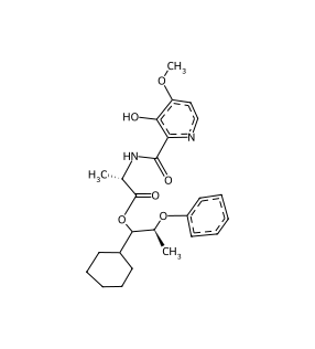 COc1ccnc(C(=O)N[C@@H](C)C(=O)OC(C2CCCCC2)[C@H](C)Oc2ccccc2)c1O